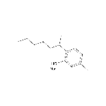 CCCCCC(C)c1ccc(C)cc1O.[Na]